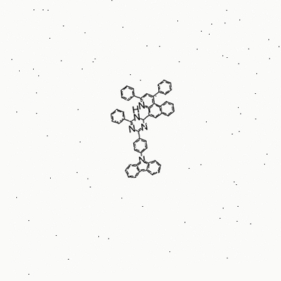 c1ccc(C2=NC(c3ccc(-n4c5ccccc5c5ccccc54)cc3)=NC(c3cc4ccccc4c4c(-c5ccccc5)cc(-c5ccccc5)nc34)N2)cc1